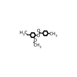 CCOc1cc(CC)ccc1OC(=O)c1ccc(C)cc1